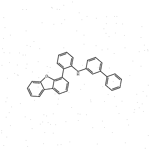 c1ccc(-c2cccc(Nc3ccccc3-c3cccc4c3oc3ccccc34)c2)cc1